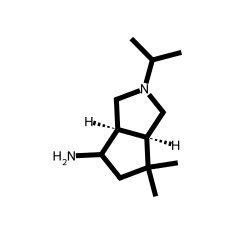 CC(C)N1C[C@@H]2C(N)CC(C)(C)[C@@H]2C1